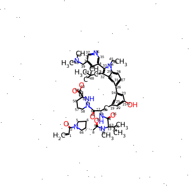 C=CC(=O)N1CC[C@H](CC(=O)N(C)C(C(=O)N[C@H]2Cc3cc(O)cc(c3)-c3ccc4c(c3)c(c(-c3cncc(CN(C)C)c3)n4CC)CC(C)(C)COC(=O)[C@@H]3CCCN(N3)C2=O)C(C)C)C1